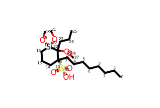 CCCCCCCC(=O)C1(S(=O)(=O)O)CCC[Si](OC)(OC)C1(CCC)OC